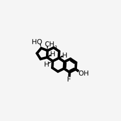 C[C@]12CC[C@@H]3c4ccc(O)c(F)c4CC[C@H]3[C@@H]1CC[C@@H]2O